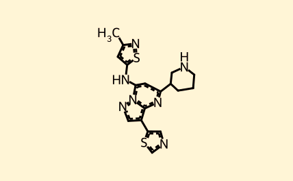 Cc1cc(Nc2cc(C3CCCNC3)nc3c(-c4cncs4)cnn23)sn1